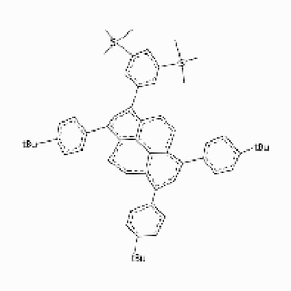 CC(C)(C)c1ccc(-c2cc(-c3ccc(C(C)(C)C)cc3)c3ccc4c(-c5cc([Si](C)(C)C)cc([Si](C)(C)C)c5)cc(-c5ccc(C(C)(C)C)cc5)c5ccc2c3c54)cc1